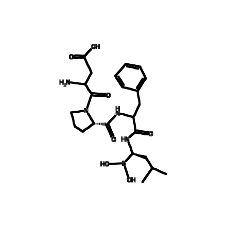 CC(C)C[C@H](NC(=O)C(Cc1ccccc1)NC(=O)[C@@H]1CCCN1C(=O)C(N)CC(=O)O)B(O)O